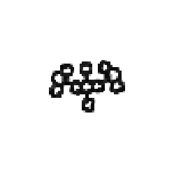 C1=CC2CCC3=C(CCC=C3)N(c3ccc4c(-c5ccccc5)c5ccc(N6C7=C(CCC=C7)CCc7ccccc76)cc5c(-c5ccccc5)c4c3)C2C=C1